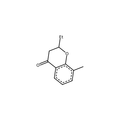 CCC1CC(=O)c2cccc(C)c2O1